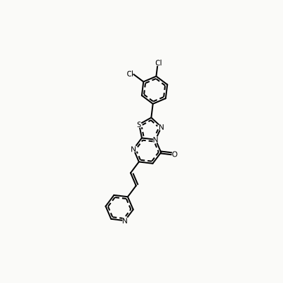 O=c1cc(/C=C/c2cccnc2)nc2sc(-c3ccc(Cl)c(Cl)c3)nn12